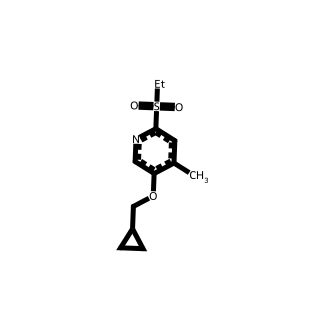 CCS(=O)(=O)c1cc(C)c(OCC2CC2)cn1